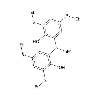 CCCC(c1cc(SCC)cc(SCC)c1O)c1cc(SCC)cc(SCC)c1O